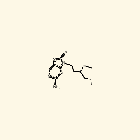 CCCC(CCn1c(=O)sc2cnc(N)nc21)OC